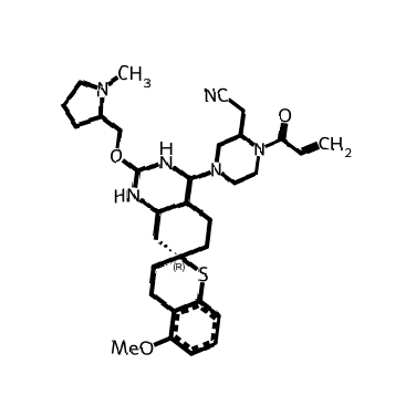 C=CC(=O)N1CCN(C2NC(OCC3CCCN3C)NC3C[C@]4(CCc5c(OC)cccc5S4)CCC32)CC1CC#N